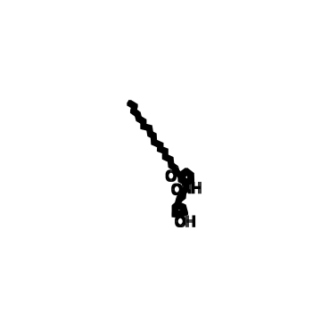 CCCCCCCCCCCCCCCCCCC(=O)c1cccc(NC(=O)/C=C/c2ccc(O)cc2)c1